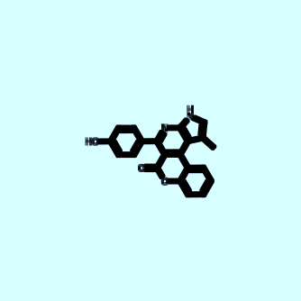 Cc1c[nH]c2nc(-c3ccc(O)cc3)c3c(=O)oc4ccccc4c3c12